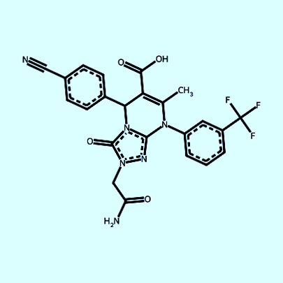 CC1=C(C(=O)O)C(c2ccc(C#N)cc2)n2c(nn(CC(N)=O)c2=O)N1c1cccc(C(F)(F)F)c1